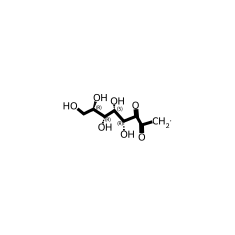 [CH2]C(=O)C(=O)[C@H](O)[C@@H](O)[C@H](O)[C@H](O)CO